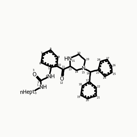 CCCCCCCNC(=O)Nc1ccccc1C(=O)C1CN(C(c2ccccc2)c2ccccc2)CCN1